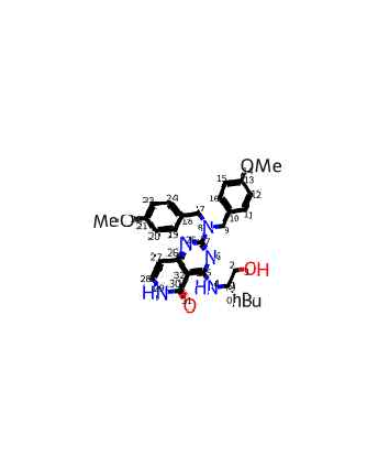 CCCC[C@@H](CO)Nc1nc(N(Cc2ccc(OC)cc2)Cc2ccc(OC)cc2)nc2cc[nH]c(=O)c12